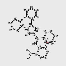 CC(C)c1cccc(C(C)C)c1/N=C(\c1ccccc1)c1nc(-c2ccccc2)c(-c2ccccc2)[nH]1